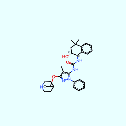 Cc1c(OC2CN3CCC2CC3)nn(-c2ccccc2)c1NC(=O)N[C@@H]1c2ccccc2C(C)(C)C[C@H]1O